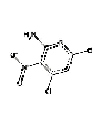 Nc1nc(Cl)cc(Cl)c1[N+](=O)[O-]